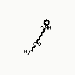 CCCCOC(=O)CCCCCCC(=O)Nc1ccccc1